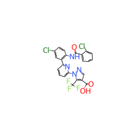 O=C(Nc1ccc(Cl)cc1-c1cccc(-n2ncc(C(=O)O)c2C(F)(F)F)n1)c1ccccc1Cl